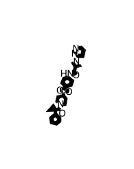 O=C(Nc1ccc(S(=O)(=O)C2CCN(C(=O)C3(c4ccccc4)CC3)CC2)cc1)C1CN(c2cccnn2)C1